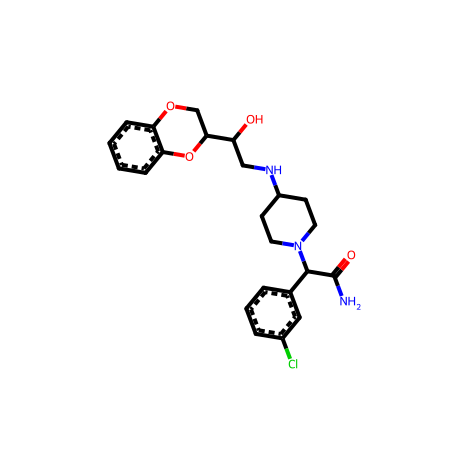 NC(=O)C(c1cccc(Cl)c1)N1CCC(NCC(O)C2COc3ccccc3O2)CC1